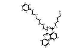 O=C(OCCCCCl)c1cccc(-c2ccccc2)c1C(=O)NCCCCCCCCc1ccccc1